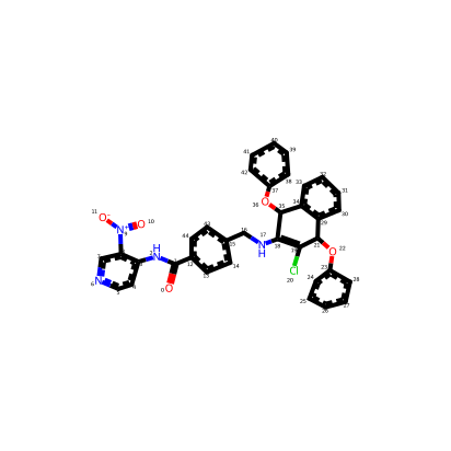 O=C(Nc1ccncc1[N+](=O)[O-])c1ccc(CNC2=C(Cl)C(Oc3ccccc3)c3ccccc3C2Oc2ccccc2)cc1